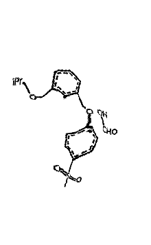 CC(C)Oc1cccc(Oc2ccc(S(C)(=O)=O)cc2)c1.O=CO